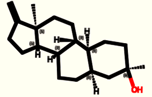 C=C1CC[C@H]2[C@@H]3CC[C@@H]4C[C@](C)(O)CC[C@@H]4[C@H]3CC[C@]12C